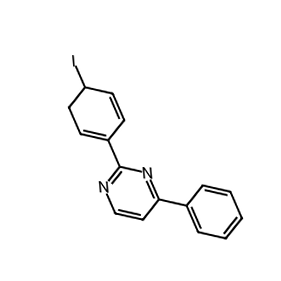 IC1C=CC(c2nccc(-c3ccccc3)n2)=CC1